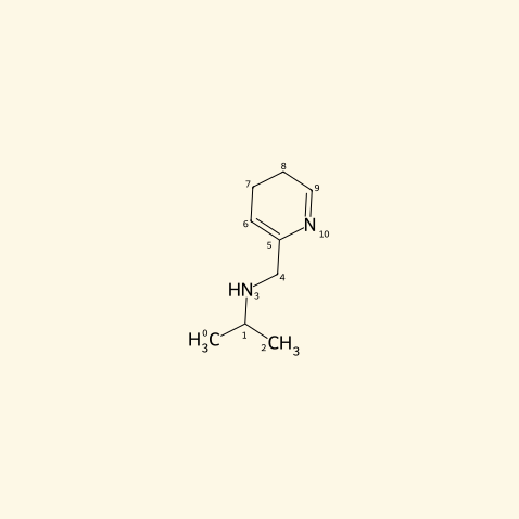 CC(C)NCC1=CCCC=N1